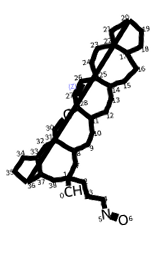 CC1(CCCN=O)CC2CCC3CCC4CCC5CCC6CC5CCC4/C=C\C3CCC2CC2CCC6C2C1